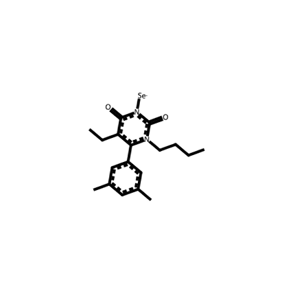 CCCCn1c(-c2cc(C)cc(C)c2)c(CC)c(=O)n([Se])c1=O